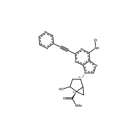 CCNc1nc(C#Cc2cnccn2)nc2c1ncn2[C@H]1CC(O)[C@@]2(C(=O)NC)CC12